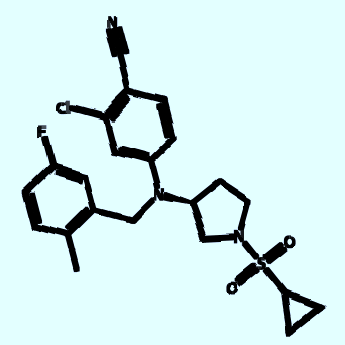 Cc1ccc(F)cc1CN(c1ccc(C#N)c(Cl)c1)[C@H]1CCN(S(=O)(=O)C2CC2)C1